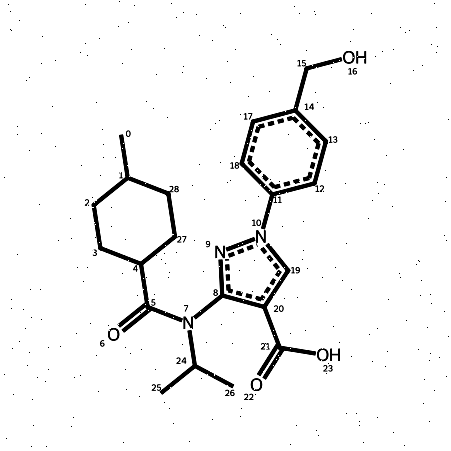 CC1CCC(C(=O)N(c2nn(-c3ccc(CO)cc3)cc2C(=O)O)C(C)C)CC1